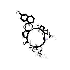 COC[C@H]1C/C=C/[C@H](OC)[C@@H]2CC[C@H]2CN2C[C@@]3(CCCc4cc(Cl)ccc43)COc3ccc(cc32)C(=O)NS(=O)(=O)[C@@H]1C